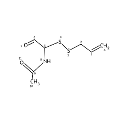 C=CCSSC(C=O)NC(C)=O